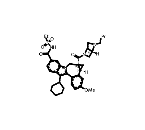 CCS(=O)(=O)NC(=O)c1ccc2c(C3CCCCC3)c3n(c2c1)C[C@@]1(C(=O)N2C[C@@H]4C2CN4CC(C)C)C[C@H]1c1cc(OC)ccc1-3